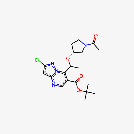 CC(=O)N1CC[C@@H](OC(C)c2c(C(=O)OC(C)(C)C)cnc3cc(Cl)nn23)C1